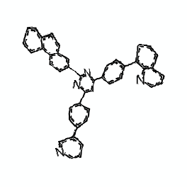 c1cncc(-c2ccc(-c3cc(-c4ccc(-c5cccc6cccnc56)cc4)nc(-c4ccc5c(ccc6ccccc65)c4)n3)cc2)c1